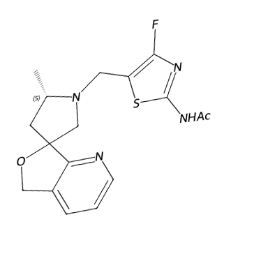 CC(=O)Nc1nc(F)c(CN2CC3(C[C@@H]2C)OCc2cccnc23)s1